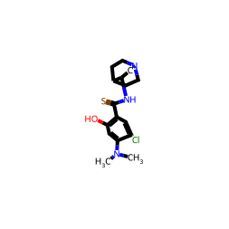 CN(C)c1cc(O)c(C(=S)NC2CN3CCC2CC3)cc1Cl